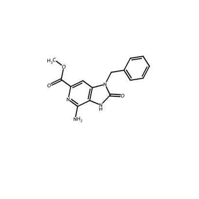 COC(=O)c1cc2c([nH]c(=O)n2Cc2ccccc2)c(N)n1